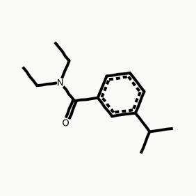 CCN(CC)C(=O)c1cccc(C(C)C)c1